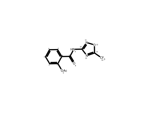 CC(=O)Oc1ccccc1C(=O)Nc1noc(C(F)(F)F)n1